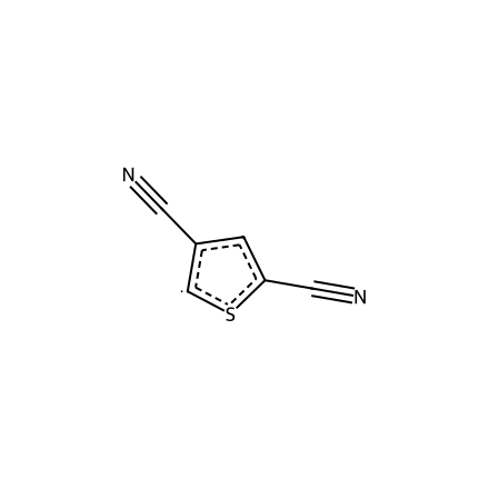 N#Cc1[c]sc(C#N)c1